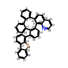 c1ccc2c(c1)-c1ccccc1-c1c(cccc1-c1cccc3c1sc1ccccc13)-c1c-2ccc2cccnc12